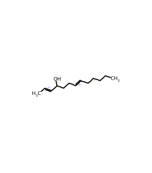 C/C=C/C(O)CC/C=C/CCCCC